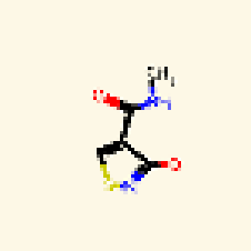 CNC(=O)c1csnc1[O]